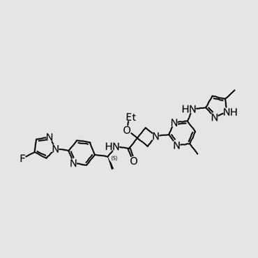 CCOC1(C(=O)N[C@@H](C)c2ccc(-n3cc(F)cn3)nc2)CN(c2nc(C)cc(Nc3cc(C)[nH]n3)n2)C1